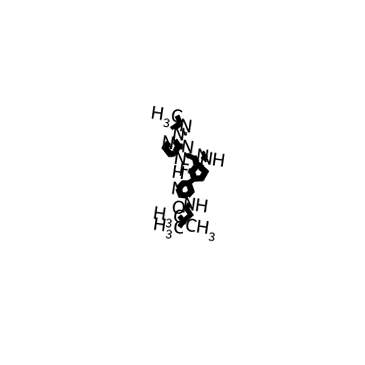 Cc1cn(-c2nccc3[nH]c(-c4n[nH]c5ccc(-c6cncc(NC(=O)CC(C)(C)C)c6)c(F)c45)nc23)cn1